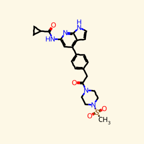 CS(=O)(=O)N1CCN(C(=O)Cc2ccc(-c3cc(NC(=O)C4CC4)nc4[nH]ccc34)cc2)CC1